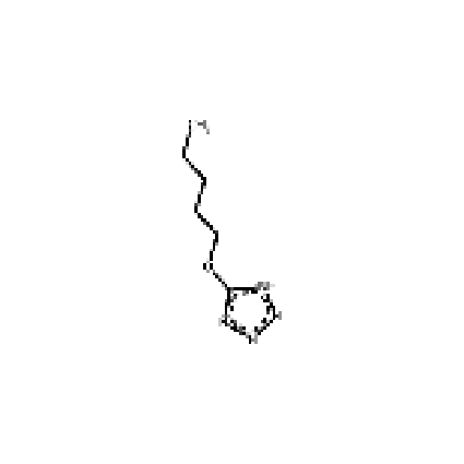 CCCCCOc1nnn[nH]1